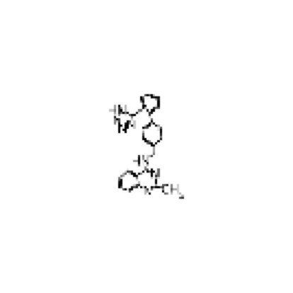 Cc1nc(NCc2ccc(-c3ccccc3-c3nnn[nH]3)cc2)c2ccccc2n1